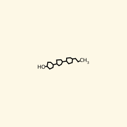 CCCC1CCC(C2CCC(C3CCC(O)CC3)CC2)CC1